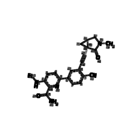 CCNc1ccc(-c2ccc(C#N)c(C#C[C@]34CC3CN(C)C4=O)c2)nc1C(N)=O